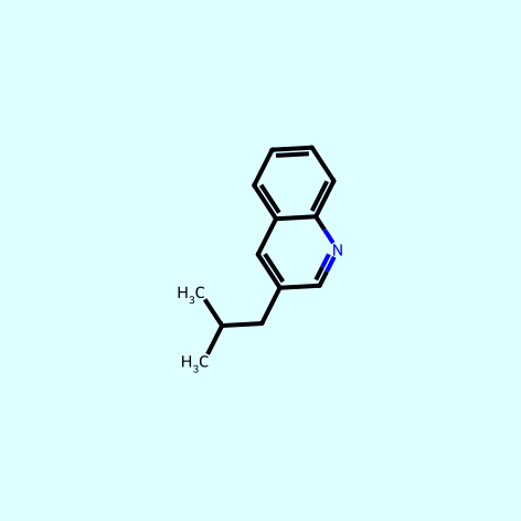 C[C](C)Cc1cnc2ccccc2c1